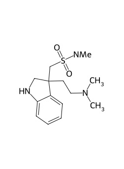 CNS(=O)(=O)CC1(CCN(C)C)CNc2ccccc21